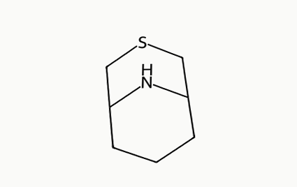 C1CC2CSCC(C1)N2